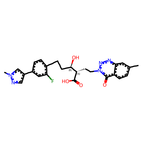 Cc1ccc2c(=O)n(CC[C@H](C(=O)O)[C@H](O)CCc3ccc(-c4cnn(C)c4)cc3F)nnc2c1